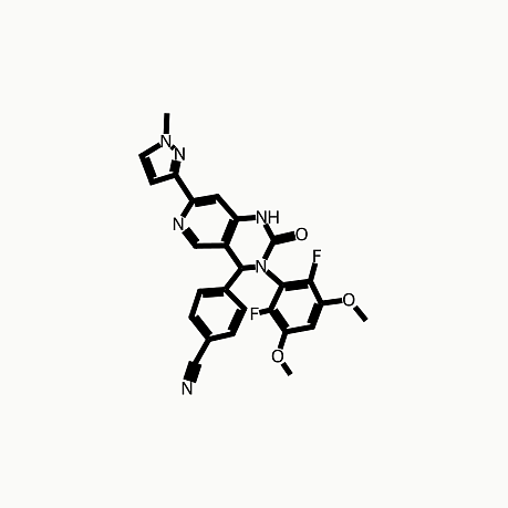 COc1cc(OC)c(F)c(N2C(=O)Nc3cc(-c4ccn(C)n4)ncc3C2c2ccc(C#N)cc2)c1F